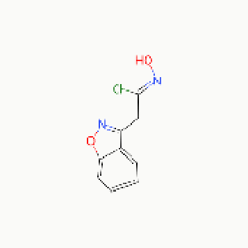 O/N=C(\Cl)Cc1noc2ccccc12